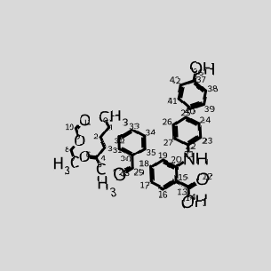 CCCCC(C)=O.CCOC=O.O=C(O)c1ccccc1Nc1ccccc1.O=Cc1ccccc1.Oc1ccccc1